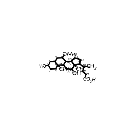 COC1CC2CC(O)CCC2(C)C2CC(O)C3(C)C(C(C)CCC(=O)O)CCC3C12